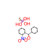 O=C(c1ccccc1)c1ccccc1[N+](=O)[O-].OP(O)(O)=S